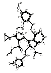 CCOC(=O)c1c(-c2c(CNc3cnn(C)c3)n(C(C)C)c3ncnc(NCc4ccc(OC)cc4OC)c23)noc1C1CC1